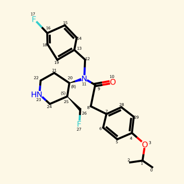 CC(C)Oc1ccc(CC(=O)N(Cc2ccc(F)cc2)[C@@H]2CCNC[C@@H]2CF)cc1